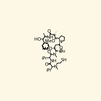 CC[C@H](C)[C@@H]([C@@H](CC(=O)N1CCCC1[C@H](OC)[C@@H](C)C(=O)N[C@H](C)[C@@H](O)c1ccccc1)OC)N(C)C(=O)C(NC(=O)C(C(C)C)N(C)CCS)C(C)C